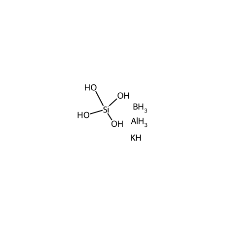 B.O[Si](O)(O)O.[AlH3].[KH]